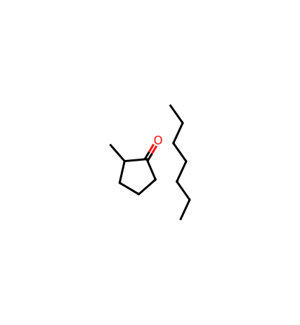 CC1CCCC1=O.CCCCCCC